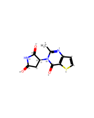 Cc1nc2ccsc2c(=O)n1[C@H]1CC(=O)NC1=O